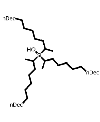 CCCCCCCCCCCCCCCC(C)[Si](O)(C(C)CCCCCCCCCCCCCCC)C(C)CCCCCCCCCCCCCCC